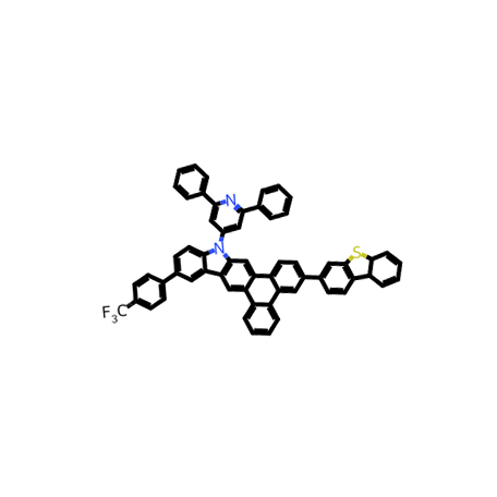 FC(F)(F)c1ccc(-c2ccc3c(c2)c2cc4c5ccccc5c5cc(-c6ccc7c(c6)SC6C=CC=CC76)ccc5c4cc2n3-c2cc(-c3ccccc3)nc(-c3ccccc3)c2)cc1